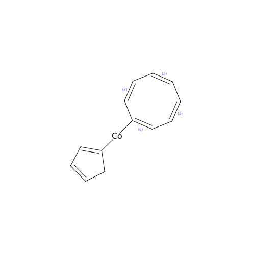 C1=CC[C]([Co][C]2=C/C=C\C=C/C=C\2)=C1